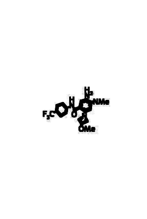 CNc1cc(N2CC(OC)C2)c(C(=O)N[C@H]2CC[C@H](C(F)(F)F)CC2)cc1N